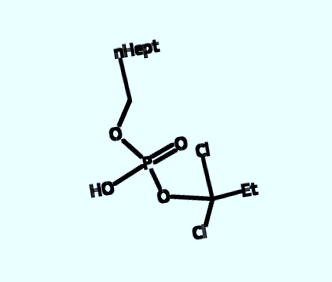 CCCCCCCCOP(=O)(O)OC(Cl)(Cl)CC